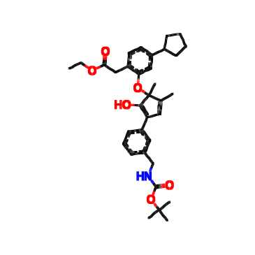 CCOC(=O)Cc1ccc(C2CCCC2)cc1OC1(C)C(C)=CC(c2cccc(CNC(=O)OC(C)(C)C)c2)=C1O